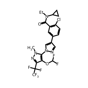 CCN(C(=O)c1cc(-c2cnn(-c3c(OC(F)F)c(C(F)(F)C(F)(F)F)nn3C)c2)ccc1Cl)C1CC1